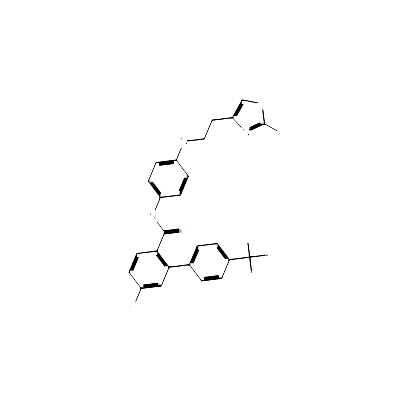 Cc1ccc(C(=O)Nc2ccc(NCCc3csc(C)n3)cc2)c(-c2ccc(C(F)(F)F)cc2)c1